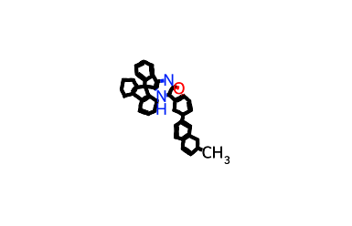 CC1C=Cc2ccc(C3C=CC4=C(C3)C3NC5=C(N=C3O4)c3ccccc3C53C4=C(C=CCC4)C4=C3CCCC4)cc2C1